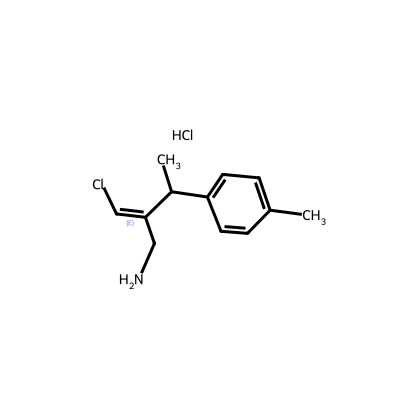 Cc1ccc(C(C)/C(=C\Cl)CN)cc1.Cl